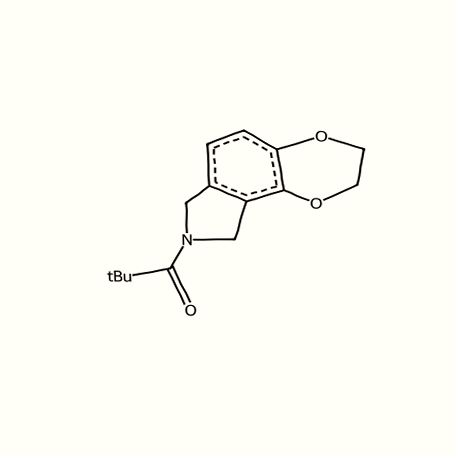 CC(C)(C)C(=O)N1Cc2ccc3c(c2C1)OCCO3